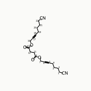 N#CCCCCC#CCOC(=O)CCC(=O)OCC#CCCCCC#N